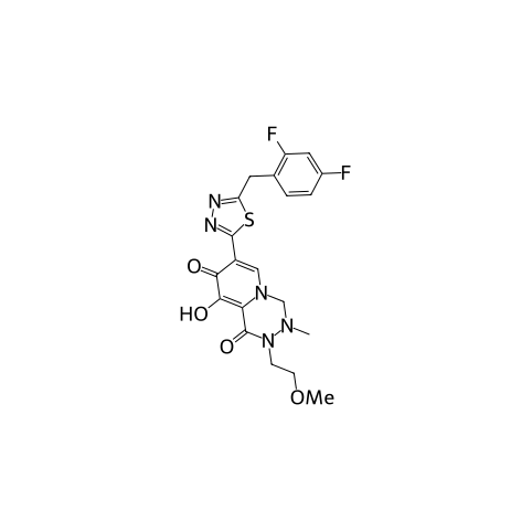 COCCN1C(=O)c2c(O)c(=O)c(-c3nnc(Cc4ccc(F)cc4F)s3)cn2CN1C